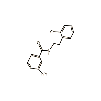 CCCc1cccc(C(=O)NCCc2ccccc2Cl)c1